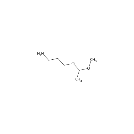 CO[CH](C)[Ti][CH2]CCN